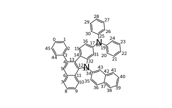 c1ccc(-c2cc3ccccc3c3c2c2ccc(N(c4ccccc4)c4ccccc4)cc2n3-c2ccc3ccccc3c2)cc1